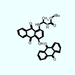 CC(NC(=O)OC(C)(C)C)Nc1ccc(O)c2c1C(=O)c1ccccc1C2=O.O=C1c2ccccc2C(=O)c2ccccc21